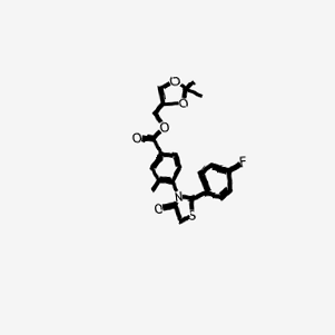 Cc1cc(C(=O)OCC2COC(C)(C)O2)ccc1N1C(=O)CSC1c1ccc(F)cc1